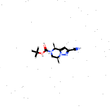 C[C@H]1c2cc(C#N)nn2[C@@H](C)CN1C(=O)OC(C)(C)C